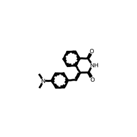 CN(C)c1ccc(/C=C2/C(=O)NC(=O)c3ccccc32)cc1